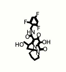 O=C(NCc1c(F)cc(F)cc1F)c1c2n3c(c(O)c1=O)C(=O)N1CCCC[C@]3(CC2CO)C1